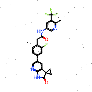 Cc1ncc(NC(=O)Cc2ccc(-c3cnc4c(c3)C3(CC3)C(=O)N4)cc2F)cc1C(F)(F)F